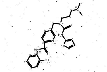 C=C(Nc1cccs1)N(CCCN(C)C)Cc1ccc(C(=O)Nc2ccccc2N)nc1